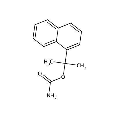 CC(C)(OC(N)=O)c1cccc2ccccc12